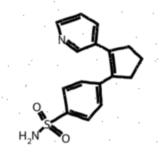 NS(=O)(=O)c1ccc(C2=C(c3cccnc3)CCC2)cc1